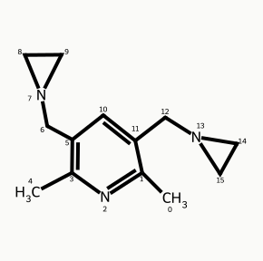 Cc1nc(C)c(CN2CC2)cc1CN1CC1